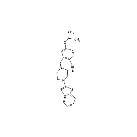 CC(C)Oc1ccc(C#N)c(CN2CCN(c3nc4ccccc4s3)CC2)c1